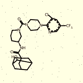 O=C(N1CCN(c2ncc(C(F)(F)F)cc2Cl)CC1)N1CCC[C@H](NC(=O)C23CC4CC(C2)C(O)C(C4)C3)C1